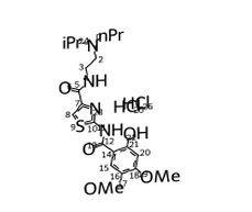 CCCN(CCNC(=O)c1csc(NC(=O)c2cc(OC)c(OC)cc2O)n1)C(C)C.Cl.Cl